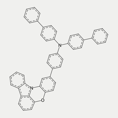 c1ccc(-c2ccc(N(c3ccc(-c4ccccc4)cc3)c3ccc(-c4ccc5c(c4)-n4c6ccccc6c6cccc(c64)O5)cc3)cc2)cc1